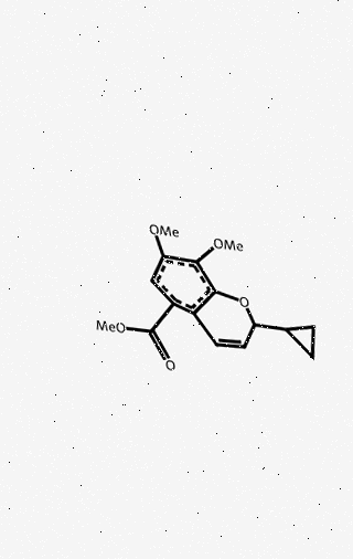 COC(=O)c1cc(OC)c(OC)c2c1C=CC(C1CC1)O2